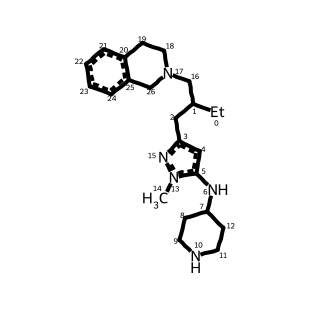 CCC(Cc1cc(NC2CCNCC2)n(C)n1)CN1CCc2ccccc2C1